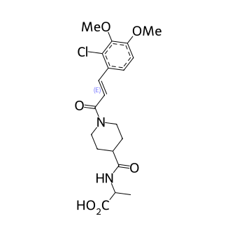 COc1ccc(/C=C/C(=O)N2CCC(C(=O)NC(C)C(=O)O)CC2)c(Cl)c1OC